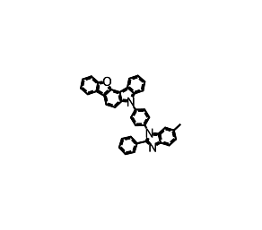 Cc1ccc2nc(-c3ccccc3)n(-c3ccc(-n4c5ccccc5c5c6oc7ccccc7c6ccc54)cc3)c2c1